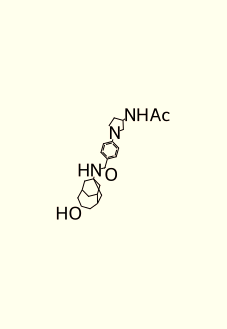 CC(=O)NC1CCN(c2ccc(C(=O)NC34CC5CC(O)CC(C3)C(C5)C4)cc2)C1